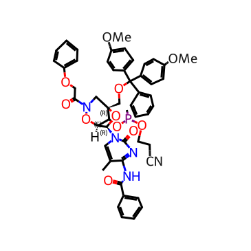 COc1ccc(C(OC[C@]23CN(C(=O)COc4ccccc4)O[C@@H](C2OP(C)OCCC#N)[C@H](n2cc(C)c(NC(=O)c4ccccc4)nc2=O)O3)(c2ccccc2)c2ccc(OC)cc2)cc1